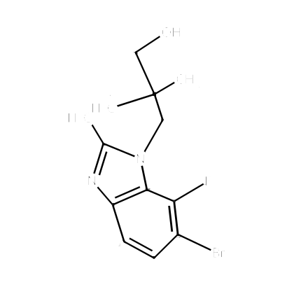 Cc1nc2ccc(Br)c(F)c2n1CC(C)(C)CO